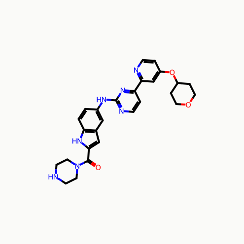 O=C(c1cc2cc(Nc3nccc(-c4cc(OC5CCOCC5)ccn4)n3)ccc2[nH]1)N1CCNCC1